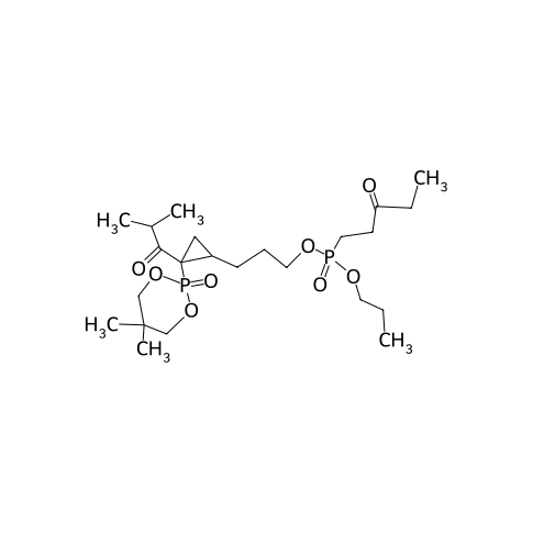 CCCOP(=O)(CCC(=O)CC)OCCCC1CC1(C(=O)C(C)C)P1(=O)OCC(C)(C)CO1